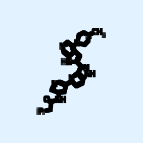 CC(C)CC(=O)Nc1cncc(-c2ccc3[nH]nc(-c4cc5c(N6CCN(C)CC6)cncc5[nH]4)c3n2)c1